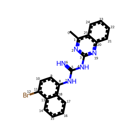 Cc1nc(NC(=N)Nc2ccc(Br)c3ccccc23)nc2ccccc12